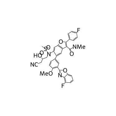 CNC(=O)c1c(-c2ccc(F)cc2)oc2cc(N(CC(O)CC#N)S(C)(=O)=O)c(-c3ccc(OC)c(-c4nc5c(F)cccc5o4)c3)cc12